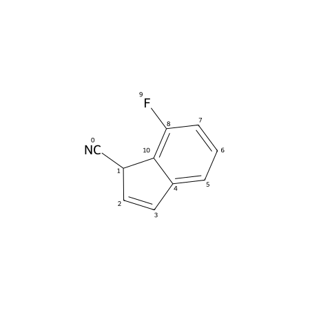 N#CC1C=Cc2cccc(F)c21